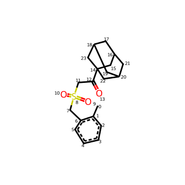 Cc1ccccc1CS(=O)(=O)CC(=O)C12CC3CC(CC(C3)C1)C2